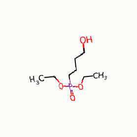 CCOP(=O)(CCCCO)OCC